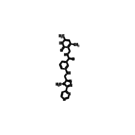 Cc1cc(C)c(CNC(=O)c2cccc(NCc3nnc(-c4ccncn4)n3C)c2)c(=O)[nH]1